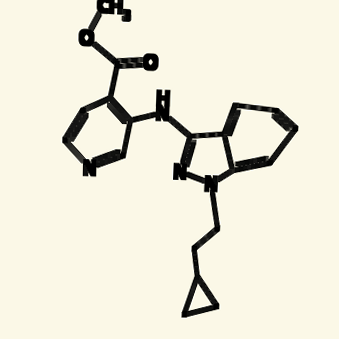 COC(=O)c1ccncc1Nc1nn(CCC2CC2)c2ccccc12